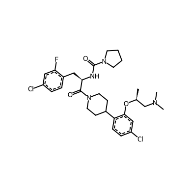 C[C@@H](CN(C)C)Oc1cc(Cl)ccc1C1CCN(C(=O)[C@@H](Cc2ccc(Cl)cc2F)NC(=O)N2CCCC2)CC1